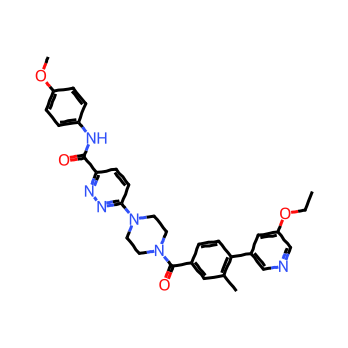 CCOc1cncc(-c2ccc(C(=O)N3CCN(c4ccc(C(=O)Nc5ccc(OC)cc5)nn4)CC3)cc2C)c1